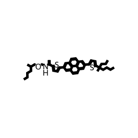 C=C(NCOCC(C)CCCC)c1ccc(-c2cc3ccc4cc(-c5ccc(C(C)(CCC)CCCC)s5)cc5ccc(c2)c3c45)s1